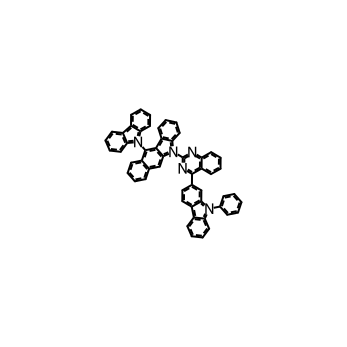 c1ccc(-n2c3ccccc3c3ccc(-c4nc(-n5c6ccccc6c6c(-n7c8ccccc8c8ccccc87)c7ccccc7cc65)nc5ccccc45)cc32)cc1